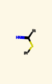 CCC(=N)SC(C)C